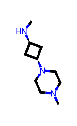 CN[C@H]1C[C@@H](N2CCN(C)CC2)C1